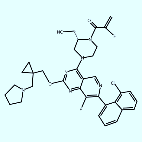 C=C(F)C(=O)N1CCN(c2nc(OCC3(CN4CCCC4)CC3)nc3c(F)c(-c4cccc5cccc(Cl)c45)ncc23)C[C@@H]1CC#N